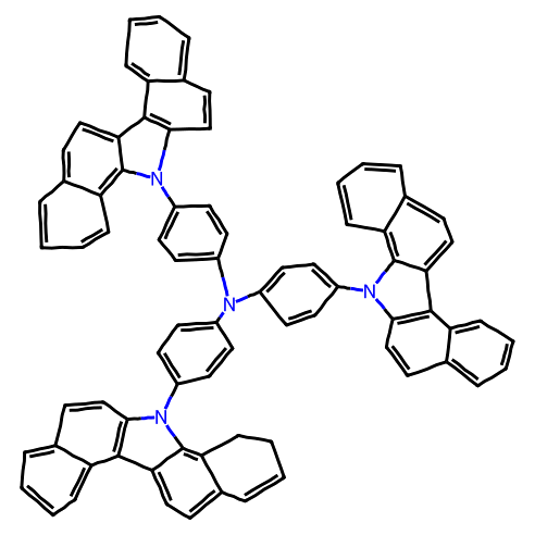 C1=Cc2ccc3c4c5ccccc5ccc4n(-c4ccc(N(c5ccc(-n6c7ccc8ccccc8c7c7ccc8ccccc8c76)cc5)c5ccc(-n6c7ccc8ccccc8c7c7ccc8ccccc8c76)cc5)cc4)c3c2CC1